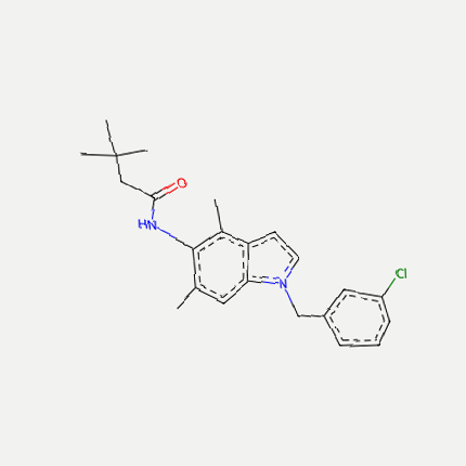 Cc1cc2c(ccn2Cc2cccc(Cl)c2)c(C)c1NC(=O)CC(C)(C)C